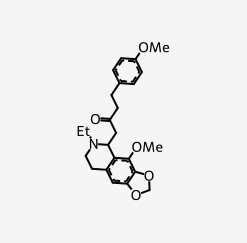 CCN1CCc2cc3c(c(OC)c2C1CC(=O)CCc1ccc(OC)cc1)OCO3